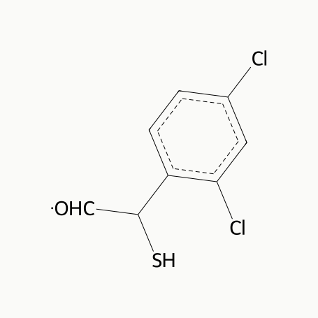 O=[C]C(S)c1ccc(Cl)cc1Cl